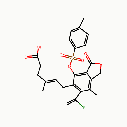 C=C(F)c1c(C)c2c(c(OS(=O)(=O)c3ccc(C)cc3)c1C/C=C(\C)CCC(=O)O)C(=O)OC2